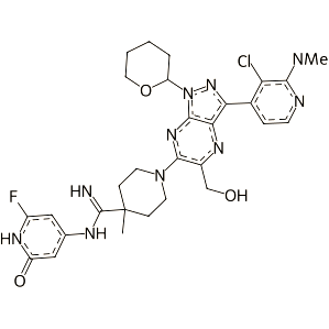 CNc1nccc(-c2nn(C3CCCCO3)c3nc(N4CCC(C)(C(=N)Nc5cc(F)[nH]c(=O)c5)CC4)c(CO)nc23)c1Cl